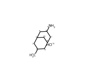 CC1CC2CC(N)CC(C1)C2.Cl